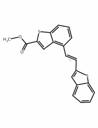 COC(=O)c1cc2c(/C=C/c3cc4ccccc4s3)cccc2s1